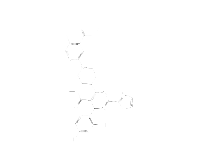 COC(=O)C1=C(C2CCN(c3cc(C(=O)OC)c(C)cn3)CC2)NC(c2nccs2)=NC1c1ccc(F)cc1Cl